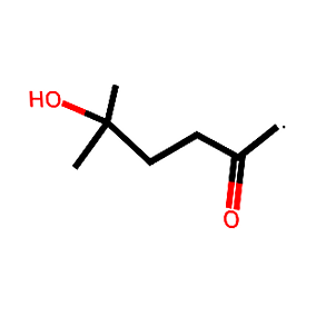 [CH2]C(=O)CCC(C)(C)O